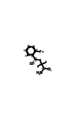 CC[C@@H](CC(C)(C)[S+](N)[O-])c1ncccc1F